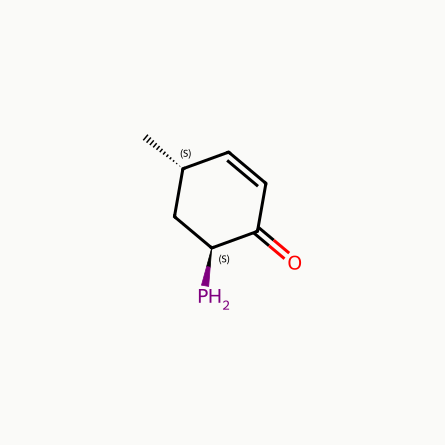 C[C@@H]1C=CC(=O)[C@@H](P)C1